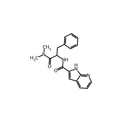 CN(C)C(=O)C(Cc1ccccc1)NC(=O)c1cc2cccnc2[nH]1